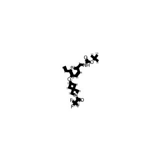 C=Cc1nc(CNC(=O)OC(C)(C)C)ccc1OC1CC2(C1)CN(C(=O)C(F)(F)F)C2